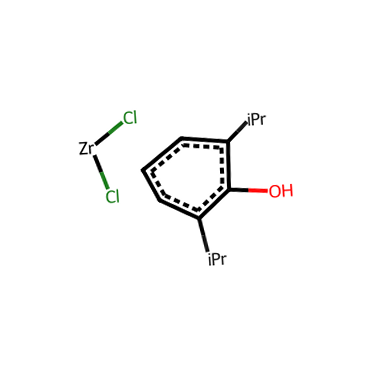 CC(C)c1cccc(C(C)C)c1O.[Cl][Zr][Cl]